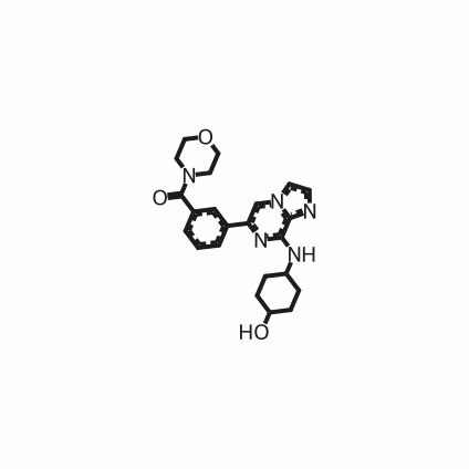 O=C(c1cccc(-c2cn3ccnc3c(NC3CCC(O)CC3)n2)c1)N1CCOCC1